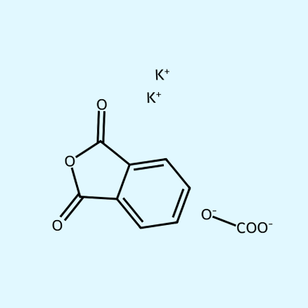 O=C([O-])[O-].O=C1OC(=O)c2ccccc21.[K+].[K+]